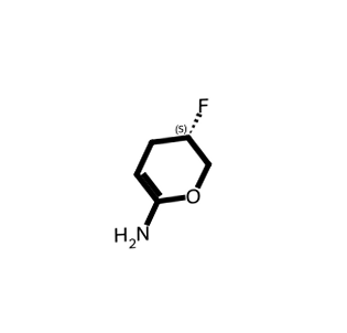 NC1=CC[C@H](F)CO1